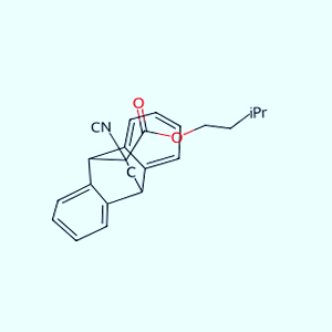 [C-]#[N+]C1(C(=O)OCCC(C)C)CC2c3ccccc3C1c1ccccc12